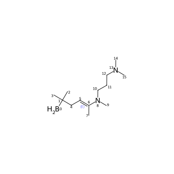 BC(C)(C)C/C=C(\C)N(C)CCCN(C)C